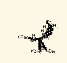 CCCCCCCCCCCCC(O)CNCCC[N+](CCCNCC(O)CCCCCCCCCCCC)(CCCNCC(O)CCCCCCCCCCCC)CCCNC(=O)OC1CCC2(C)C(=CCC3C2CCC2(C)C(C(C)CCCC(C)C)CCC32)C1